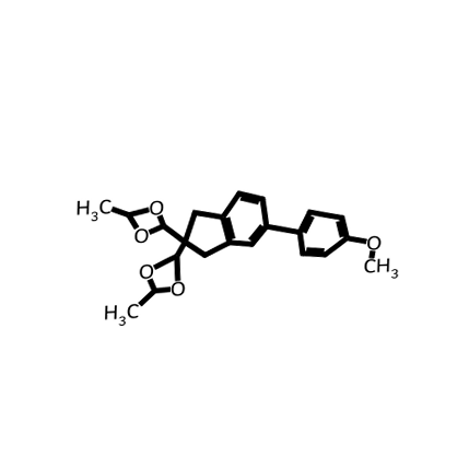 COc1ccc(-c2ccc3c(c2)CC(C2OC(C)O2)(C2OC(C)O2)C3)cc1